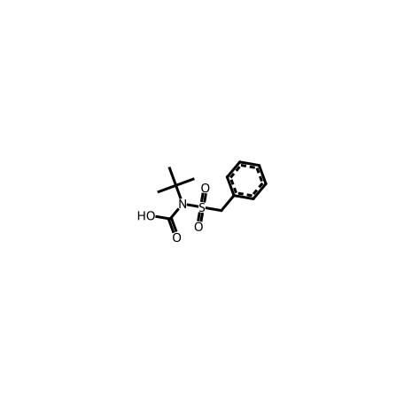 CC(C)(C)N(C(=O)O)S(=O)(=O)Cc1ccccc1